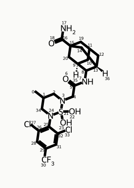 CC1CN(CC(=O)NC2[C@@H]3CC4C[C@H]2CC(C(N)=O)(C4)C3)S(O)(O)N(c2c(Cl)cc(C(F)(F)F)cc2Cl)C1